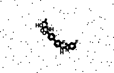 CC(C)C[C@H](NC(=O)c1ccc(-c2ccc(Nc3nc4ccc(F)cc4s3)c(F)c2)cc1)C(=O)O